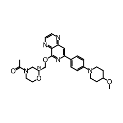 COC1CCN(c2ccc(-c3cc4nccnc4c(OC[C@@H]4CN(C(C)=O)CCO4)n3)cc2)CC1